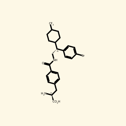 N[C@@H](Cc1ccc(C(=O)NC[C@@H](c2ccc(Br)cc2)C2CCC(C(F)(F)F)CC2)cc1)C(=O)O